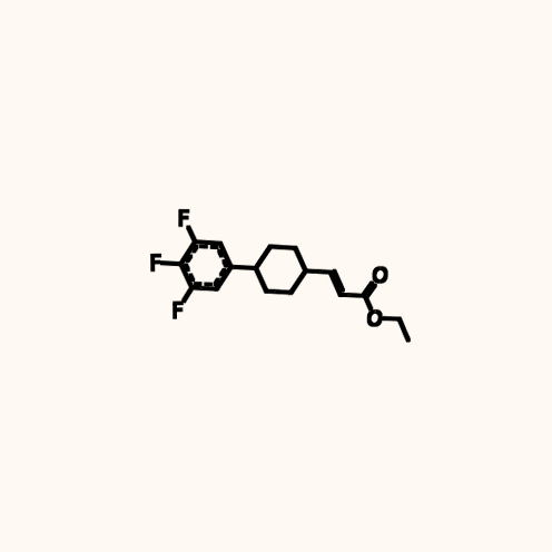 CCOC(=O)/C=C/C1CCC(c2cc(F)c(F)c(F)c2)CC1